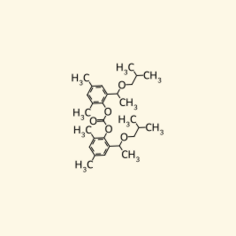 Cc1cc(C)c(OC(=O)Oc2c(C)cc(C)cc2C(C)OCC(C)C)c(C(C)OCC(C)C)c1